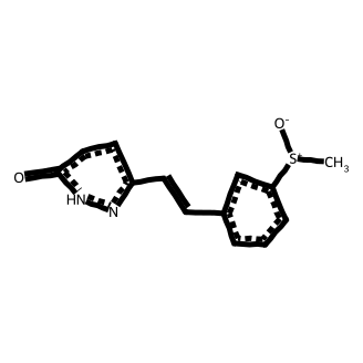 C[S+]([O-])c1cccc(/C=C/c2ccc(=O)[nH]n2)c1